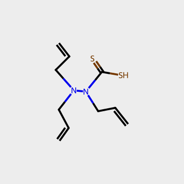 C=CCN(CC=C)N(CC=C)C(=S)S